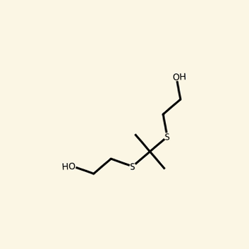 CC(C)(SCCO)SCCO